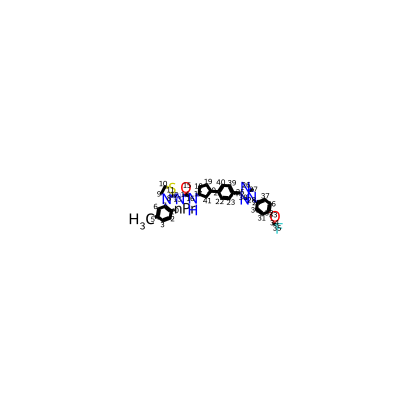 CCCc1ccc(C)cc1N1CCS/C1=N\C(=O)NC1CCC(c2ccc(-c3ncn(-c4ccc(OCF)cc4)n3)cc2)C1